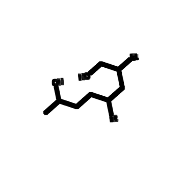 CCC(CO)CC(CC)CCC(C)O